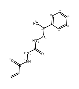 C=CC(=O)NNC(=O)NOB(O)c1ccccc1